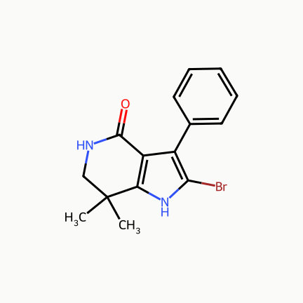 CC1(C)CNC(=O)c2c1[nH]c(Br)c2-c1ccccc1